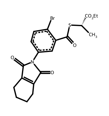 CCOC(=O)[C@H](C)SC(=O)c1cc(N2C(=O)C3=C(CCCC3)C2=O)ccc1Br